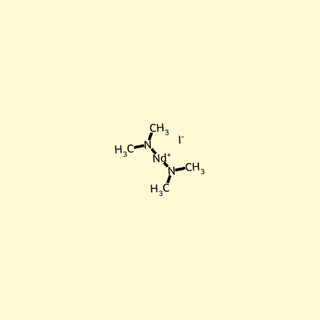 C[N](C)[Nd+][N](C)C.[I-]